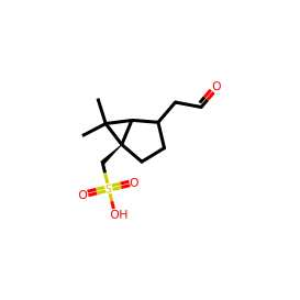 CC1(C)C2C(CC=O)CC[C@@]21CS(=O)(=O)O